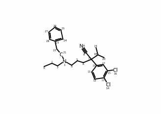 CCCN(CCCC(C#N)(c1ccc(Cl)c(Cl)c1)C(C)C)CCc1ccccc1